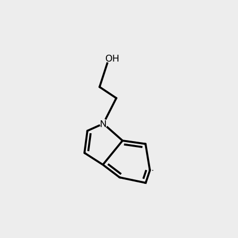 OCCn1ccc2cc[c]cc21